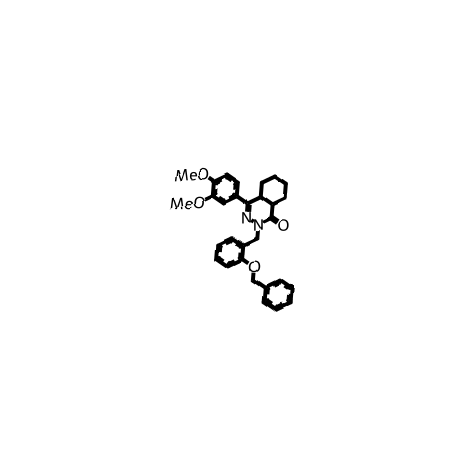 COc1ccc(C2=NN(Cc3ccccc3OCc3ccccc3)C(=O)C3CCCCC23)cc1OC